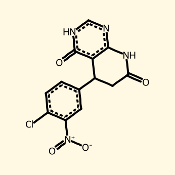 O=C1CC(c2ccc(Cl)c([N+](=O)[O-])c2)c2c(nc[nH]c2=O)N1